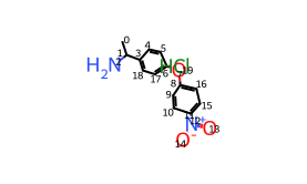 CC(N)c1ccc(Oc2ccc([N+](=O)[O-])cc2)cc1.Cl